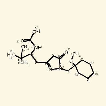 COC1(CN2N=C(CC(NC(=O)O)C(C)(C)C)CC2=O)CCCCC1